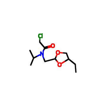 CCC1COC(CN(C(=O)CCl)C(C)C)O1